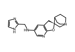 c1c[nH]c(CNc2cnc3c(c2)C[C@@]2(CN4CCC2CC4)O3)n1